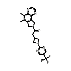 Cc1c2c(c3nccnc3c1C)CN(C(=O)CC1CN(c3ncc(C(F)(F)F)cn3)C1)C2